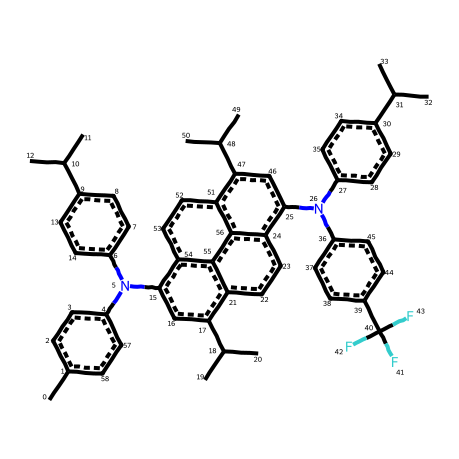 Cc1ccc(N(c2ccc(C(C)C)cc2)c2cc(C(C)C)c3ccc4c(N(c5ccc(C(C)C)cc5)c5ccc(C(F)(F)F)cc5)cc(C(C)C)c5ccc2c3c54)cc1